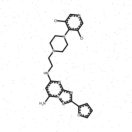 Nc1cc(NCCN2CCN(c3c(Cl)cncc3Cl)CC2)nc2nc(-c3ccco3)nn12